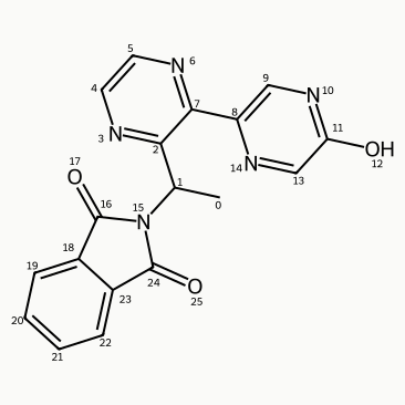 CC(c1nccnc1-c1cnc(O)cn1)N1C(=O)c2ccccc2C1=O